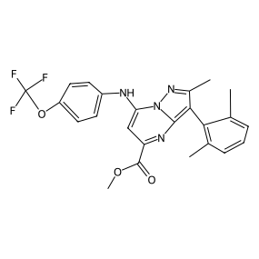 COC(=O)c1cc(Nc2ccc(OC(F)(F)F)cc2)n2nc(C)c(-c3c(C)cccc3C)c2n1